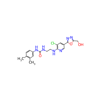 Cc1ccc(NC(=O)NCCNc2ncc(-c3nnc(CO)o3)cc2Cl)cc1C